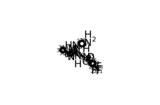 NC1CCC(Nc2nc(NCCNS(=O)(=O)c3ccc(C(F)(F)F)cc3)c3ncn(C4CCCC4)c3n2)CC1